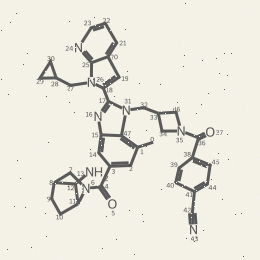 Cc1cc(C(=O)N2CC3CCC2C3N)cc2nc(-c3cc4cccnc4n3CC3CC3)n(CC3CN(C(=O)c4ccc(C#N)cc4)C3)c12